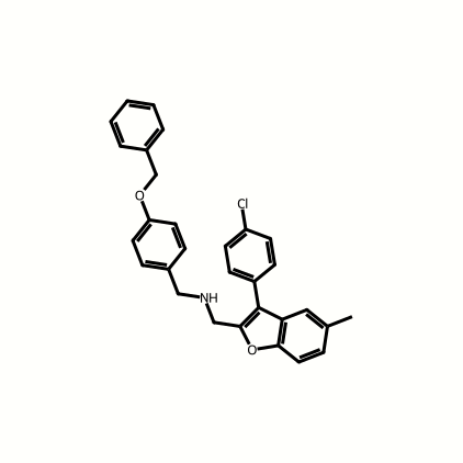 Cc1ccc2oc(CNCc3ccc(OCc4ccccc4)cc3)c(-c3ccc(Cl)cc3)c2c1